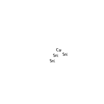 [Ca].[Sn].[Sn].[Sn]